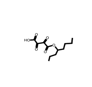 CCCCC(CCC)OC(=O)C(=O)C(=O)C(=O)O